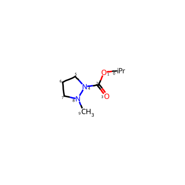 CC(C)OC(=O)N1CCCN1C